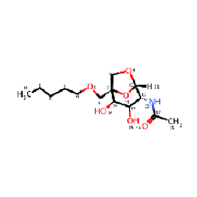 CCCCCOC[C@@]12CO[C@@H](O1)[C@H](NC(C)=O)[C@@H](O)[C@H]2O